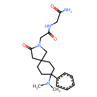 CN(C)C1(c2ccccc2)CCC2(CC1)CC(=O)N(CC(=O)NCC(N)=O)C2